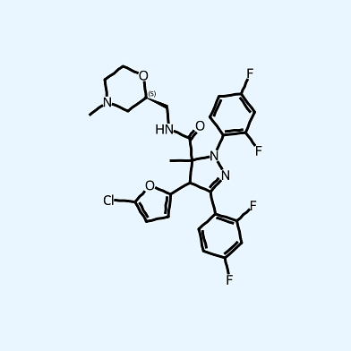 CN1CCO[C@@H](CNC(=O)C2(C)C(c3ccc(Cl)o3)C(c3ccc(F)cc3F)=NN2c2ccc(F)cc2F)C1